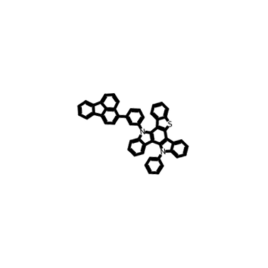 c1ccc(-n2c3ccccc3c3c4sc5ccccc5c4c4c(c5ccccc5n4-c4cccc(-c5ccc6c7c(cccc57)-c5ccccc5-6)c4)c32)cc1